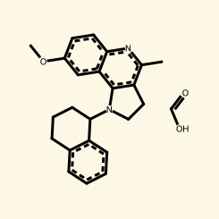 COc1ccc2nc(C)c3c(c2c1)N(C1CCCc2ccccc21)CC3.O=CO